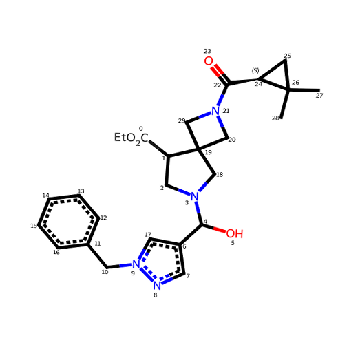 CCOC(=O)C1CN(C(O)c2cnn(Cc3ccccc3)c2)CC12CN(C(=O)[C@H]1CC1(C)C)C2